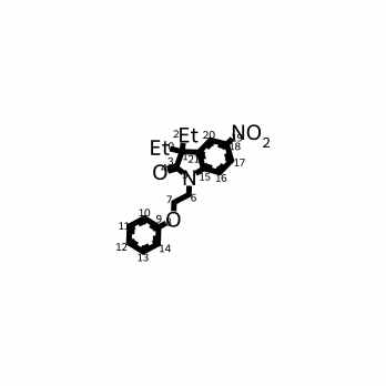 CCC1(CC)C(=O)N(CCOc2ccccc2)c2ccc([N+](=O)[O-])cc21